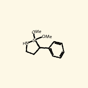 CO[Si]1(OC)NCCC1c1ccccc1